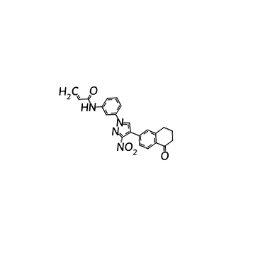 C=CC(=O)Nc1cccc(-n2cc(-c3ccc4c(c3)CCCC4=O)c([N+](=O)[O-])n2)c1